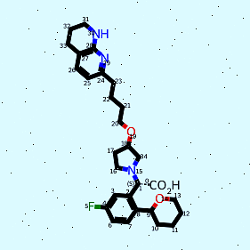 O=C(O)[C@H](c1cc(F)ccc1C1CCCCO1)N1CCC(OCCCCc2ccc3c(n2)NCCC3)C1